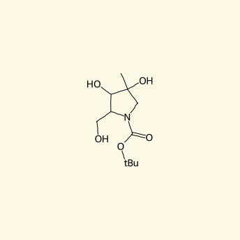 CC(C)(C)OC(=O)N1CC(C)(O)C(O)C1CO